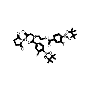 CC1(C)OB(c2ccc(C(=O)NCCN(CC(=O)ON3C(=O)CCC3=O)C(=O)c3ccc(B4OC(C)(C)C(C)(C)O4)c(F)c3)cc2F)OC1(C)C